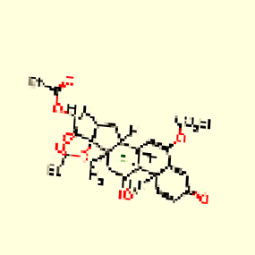 CCOC(=O)OC1=C[C@H]2[C@@H]3C[C@H](C)[C@@](OC(=O)CC)(C(=O)COC(=O)CC)[C@@]3(C)C[C@@H](O)[C@]2(F)[C@@]2(C)C=CC(=O)C=C12